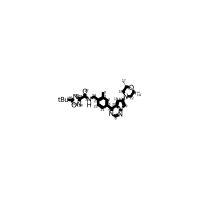 Cc1cc(-c2ncnn3cc(N4C[C@@H](C)O[C@@H](C)C4)cc23)ccc1CNC(=O)c1noc(C(C)(C)C)n1